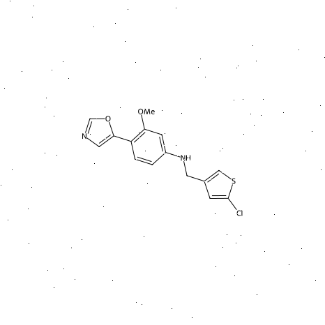 COc1cc(NCc2csc(Cl)c2)ccc1-c1cnco1